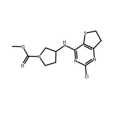 COC(=O)N1CCC(Nc2nc(Cl)nc3c2SCC3)C1